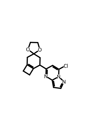 Clc1cc(C2CC3(CC4=C2CC4)OCCO3)nc2ccnn12